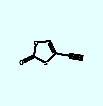 C#Cc1coc(=O)s1